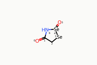 O=C1C[Se][Se](=O)N1